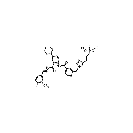 CCOP(=O)(CCCc1cn(Cc2cccc(C(=O)Nc3ccc(N4CCCCC4)cc3C(=O)N/N=C/c3ccc(Cl)c(C(F)(F)F)c3)c2)nn1)OCC